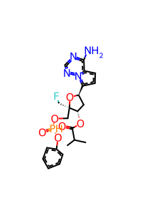 CC(C)C(=O)O[C@H]1C[C@H](c2ccc3c(N)ncnn23)O[C@]1(CF)CO[PH](=O)Oc1ccccc1